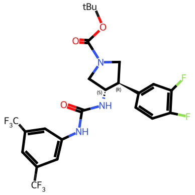 CC(C)(C)OC(=O)N1C[C@@H](NC(=O)Nc2cc(C(F)(F)F)cc(C(F)(F)F)c2)[C@H](c2ccc(F)c(F)c2)C1